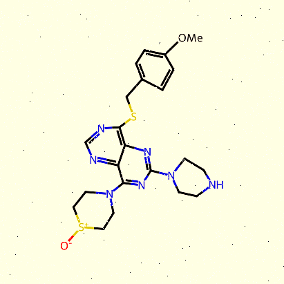 COc1ccc(CSc2ncnc3c(N4CC[S+]([O-])CC4)nc(N4CCNCC4)nc23)cc1